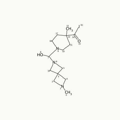 CN1CC2(C1)CN(C(O)N1CCC(C)(C(=O)I)CC1)C2